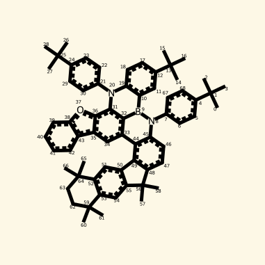 CC(C)(C)c1ccc(N2B3c4cc(C(C)(C)C)ccc4N(c4ccc(C(C)(C)C)cc4)c4c3c(cc3c4oc4ccccc43)-c3c2ccc2c3-c3cc4c(cc3C2(C)C)C(C)(C)CCC4(C)C)cc1